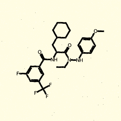 CCN(Nc1ccc(OC)cc1)C(=O)C(CC1CCCCC1)NC(=O)c1cc(F)cc(C(F)(F)F)c1